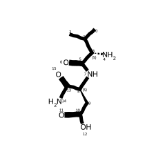 CC(C)[C@H](N)C(=O)N[C@@H](CC(=O)O)C(N)=O